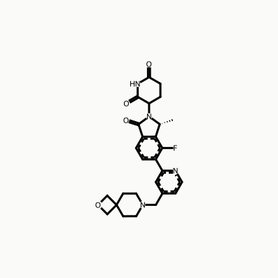 C[C@@H]1c2c(ccc(-c3cc(CN4CCC5(CC4)COC5)ccn3)c2F)C(=O)N1C1CCC(=O)NC1=O